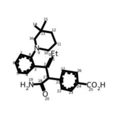 CC/C=C(\c1ccccc1N1CCCC(C)(C)C1)C(C(N)=O)c1ccc(C(=O)O)cc1